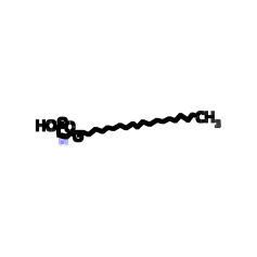 CCCCCCCCCCCCCCCCCCCCOC(=O)/C=C\C(=O)O